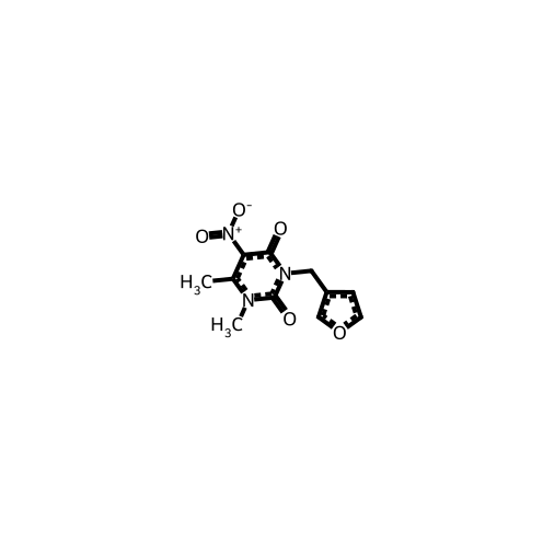 Cc1c([N+](=O)[O-])c(=O)n(Cc2ccoc2)c(=O)n1C